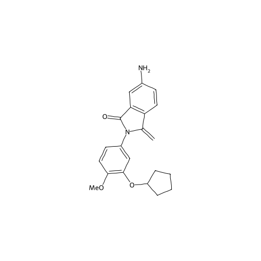 C=C1c2ccc(N)cc2C(=O)N1c1ccc(OC)c(OC2CCCC2)c1